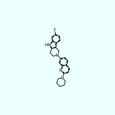 Fc1ccc2c3c([nH]c2c1)CCN(c1ccc2ccc(N4CCCCC4)nc2c1)C3